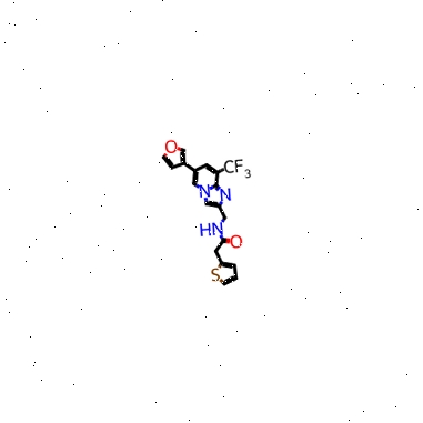 O=C(Cc1cccs1)NCc1cn2cc(-c3ccoc3)cc(C(F)(F)F)c2n1